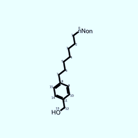 CCCCCCCCCCCCCCCCc1ccc([CH]O)cc1